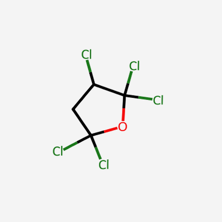 ClC1CC(Cl)(Cl)OC1(Cl)Cl